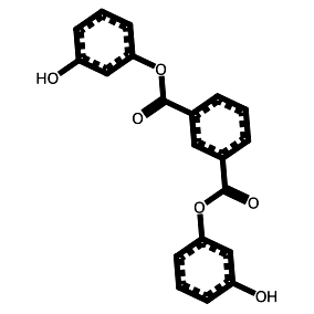 O=C(Oc1cccc(O)c1)c1cccc(C(=O)Oc2cccc(O)c2)c1